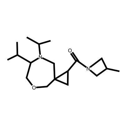 CC1CN(C(=O)C2CC23COCC(C(C)C)N(C(C)C)C3)C1